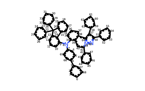 c1ccc(-c2ccc(N(c3cccc4c3-c3ccccc3C4(c3ccccc3)c3ccccc3)c3cccc4c3cc(-c3ccccc3)n3nc(-c5ccccc5)c(-c5ccccc5)c43)cc2)cc1